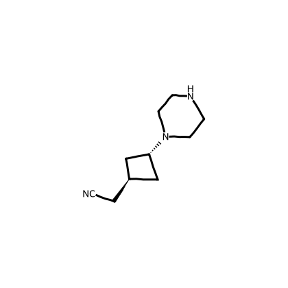 N#CC[C@H]1C[C@H](N2CCNCC2)C1